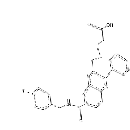 O=C(O)CCCCc1nc2cc(C(=O)NCc3ccc(F)cc3)ccc2nc1-c1ccccc1